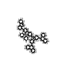 c1ccc([Si]2(c3ccccc3)c3cc(-c4cccc5c4sc4ccccc45)ccc3-c3ccc(-n4c5ccc(-c6cc7ccccc7c7ccccc67)cc5c5cc(-c6cc7ccccc7c7ccccc67)ccc54)cc32)cc1